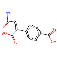 NC(=O)C=C(C(=O)O)c1ccc(C(=O)O)cc1